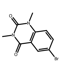 Cn1c(=O)c2cc(Br)ccc2n(C)c1=O